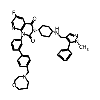 Cn1ncc(CN[C@H]2CC[C@@H](n3c(=O)c4cc(F)cnc4n(-c4cccc(-c5ccc(CN6CCCOCC6)cc5)c4)c3=O)CC2)c1-c1ccccc1